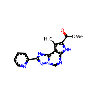 COC(=O)c1[nH]c2ncn3nc(-c4ccccn4)nc3c2c1C